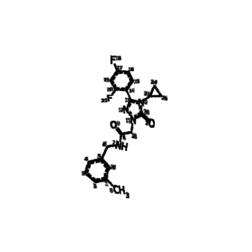 Cc1cccc(CNC(=O)Cn2nc(-c3ccc(F)cc3F)n(C3CC3)c2=O)c1